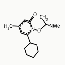 CNC(C)On1c(C2CCCCC2)cc(C)cc1=O